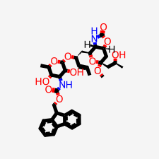 C/C=C/[C@@H](C[C@@H]1O[C@@](C[C@H](C)O)(OC)C[C@@H]2OC(=O)N[C@H]21)OC1OC(C)C(O)C(NC(=O)OCC2c3ccccc3-c3ccccc32)C1O